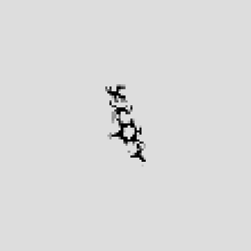 CC(C)Oc1cc(I)c(NC(=O)OC(C)(C)C)cn1